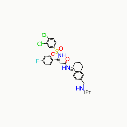 CC(C)NCc1ccc2c(c1)CCC[C@H]2NC(=O)C[C@@H](NS(=O)(=O)c1ccc(Cl)c(Cl)c1)c1ccc(F)cc1